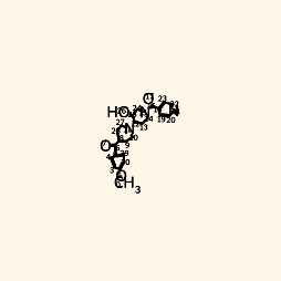 COc1ccc(C(=O)C2CCN(C3CCN(C(=O)c4ccncc4)CC3O)CC2)cc1